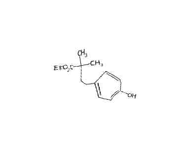 CCOC(=O)C(C)(C)Cc1ccc(O)cc1